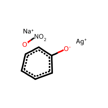 O=[N+]([O-])[O-].[Ag+].[Na+].[O-]c1ccccc1